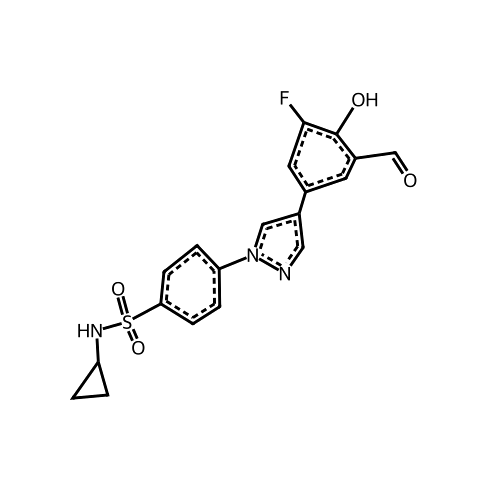 O=Cc1cc(-c2cnn(-c3ccc(S(=O)(=O)NC4CC4)cc3)c2)cc(F)c1O